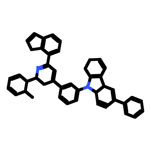 CC1C=CC=CC1C1CC(c2cccc(N3C4=C(C=CCC4)C4C=C(c5ccccc5)C#CC43)c2)=CC(c2cccc3c2CC=C3)=N1